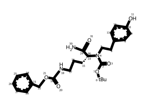 CC(C)(C)OC(=O)N(CCc1ccc(O)cc1)[C@H](CCCNC(=O)OCc1ccccc1)C(N)=O